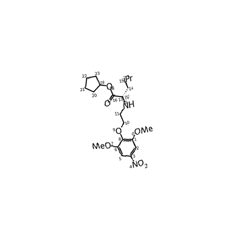 COc1cc([N+](=O)[O-])cc(OC)c1OCCN[C@@H](CC(C)C)C(=O)OC1CCCC1